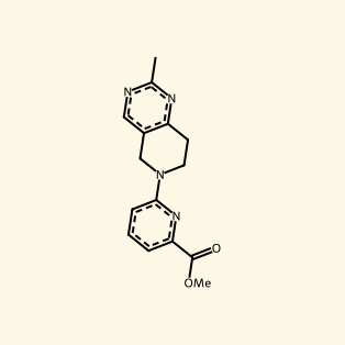 COC(=O)c1cccc(N2CCc3nc(C)ncc3C2)n1